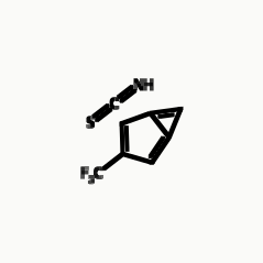 FC(F)(F)c1cc2cc-2c1.N=C=S